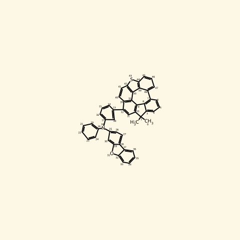 CC1(C)c2cccc3c2-c2c1cc(-c1cccc(N(c4ccccc4)c4ccc5c(c4)oc4ccccc45)c1)c1ccc4sc5cccc-3c5c4c21